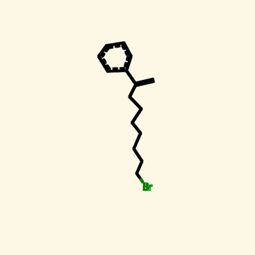 C=C(CCCCCCCBr)c1ccccc1